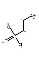 O=P(Cl)(Cl)CCO